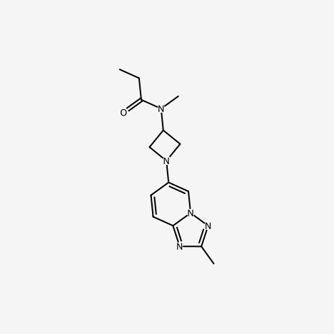 CCC(=O)N(C)C1CN(c2ccc3nc(C)nn3c2)C1